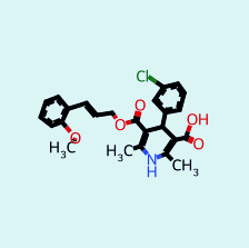 COc1ccccc1/C=C/COC(=O)C1=C(C)NC(C)=C(C(=O)O)C1c1cccc(Cl)c1